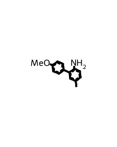 COc1ccc(-c2cc(C)ccc2N)cc1